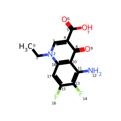 CCn1cc(C(=O)O)c(=O)c2c(N)c(F)c(F)cc21